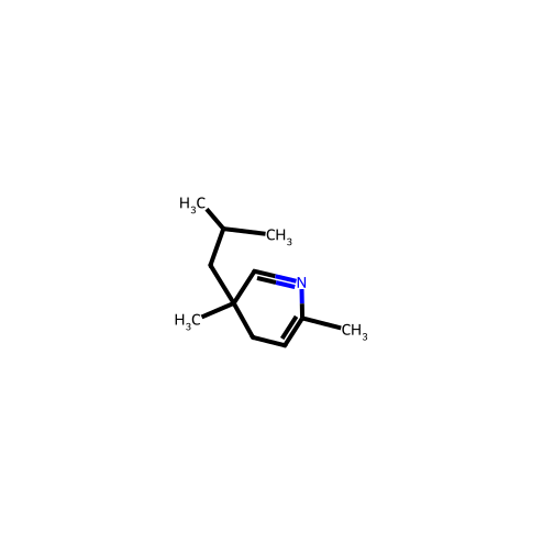 CC1=CCC(C)(CC(C)C)C=N1